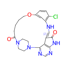 O=C1Nc2ncnc3c2/C1=C/Nc1cc(ccc1Cl)OCCCCC(=O)N1CCN3CC1